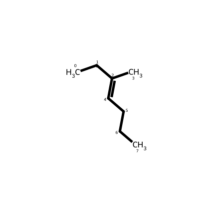 C[CH]C(C)=CCCC